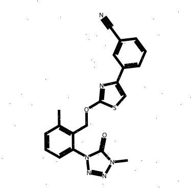 Cc1cccc(-n2nnn(C)c2=O)c1COc1nc(-c2cccc(C#N)c2)cs1